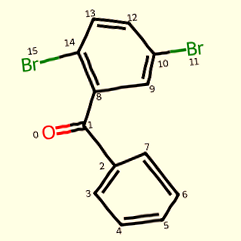 O=C(c1ccccc1)c1cc(Br)ccc1Br